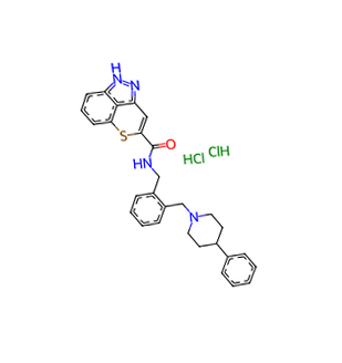 Cl.Cl.O=C(NCc1ccccc1CN1CCC(c2ccccc2)CC1)C1=Cc2n[nH]c3cccc(c23)S1